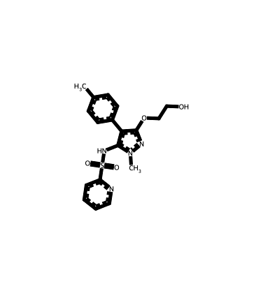 Cc1ccc(-c2c(OCCO)nn(C)c2NS(=O)(=O)c2ccccn2)cc1